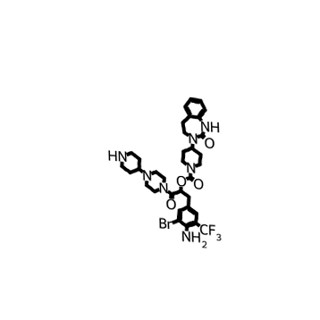 Nc1c(Br)cc(CC(OC(=O)N2CCC(N3CCc4ccccc4NC3=O)CC2)C(=O)N2CCN(C3CCNCC3)CC2)cc1C(F)(F)F